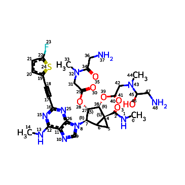 CNC(=O)[C@@]12CC1[C@@H](n1cnc3c(NC)nc(C#Cc4ccc(F)s4)nc31)[C@H](OC(=O)CN(C)C(=O)CN)[C@@H]2OC(=O)CN(C)C(O)CN